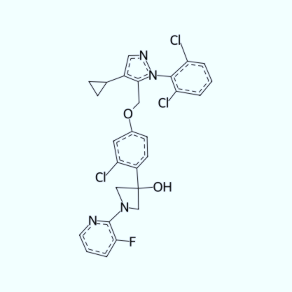 OC1(c2ccc(OCc3c(C4CC4)cnn3-c3c(Cl)cccc3Cl)cc2Cl)CN(c2ncccc2F)C1